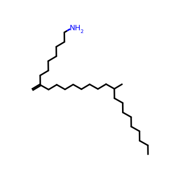 C=C(CCCCCCCN)CCCCCCCCC(C)CCCCCCCCC